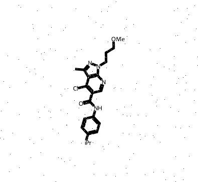 COCCCn1nc(C)c2c(Cl)c(C(=O)Nc3ccc(C(C)C)cc3)cnc21